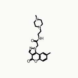 Cc1ccc2oc(=O)c3cnn(CC(=O)NCCN4CCN(C)CC4)c3c2c1